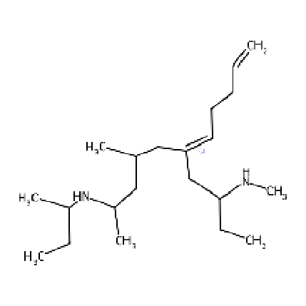 C=CCC/C=C(\CC(C)CC(C)NC(C)CC)CC(CC)NC